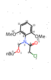 CCCCOCN(C(=O)CCl)c1c(OC)cccc1OC